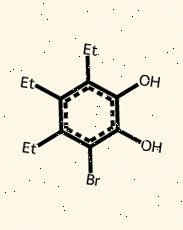 CCc1c(O)c(O)c(Br)c(CC)c1CC